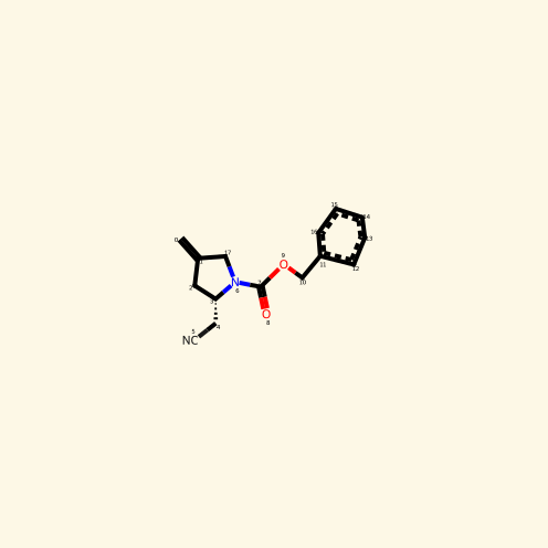 C=C1C[C@@H](CC#N)N(C(=O)OCc2ccccc2)C1